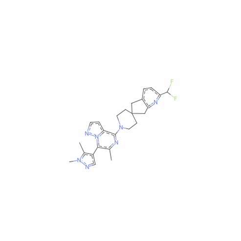 Cc1nc(N2CCC3(CC2)Cc2ccc(C(F)F)nc2C3)c2ccnn2c1-c1cnn(C)c1C